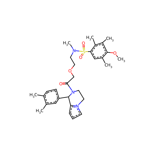 COc1c(C)cc(S(=O)(=O)N(C)CCOCC(=O)N2CCn3cccc3C2c2ccc(C)c(C)c2)c(C)c1C